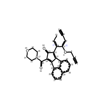 C#C/C=C(OCC#C)\C(=C/C)C1=C2C(=C(C(=O)N3CCOCC3)C1=O)c1cccc3cccc2c13